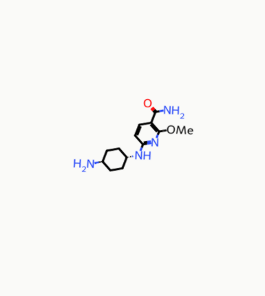 COc1nc(N[C@H]2CC[C@H](N)CC2)ccc1C(N)=O